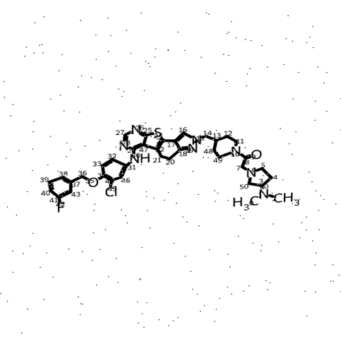 CN(C)[C@H]1CCN(CC(=O)N2CCC(Cn3cc4c(n3)CCc3c-4sc4ncnc(Nc5ccc(OCc6cccc(F)c6)c(Cl)c5)c34)CC2)C1